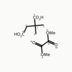 CC(C)(CC(=O)O)C(=O)O.COC(=O)C(=O)OC